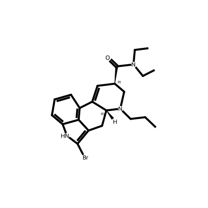 CCCN1C[C@H](C(=O)N(CC)CC)C=C2c3cccc4[nH]c(Br)c(c34)C[C@H]21